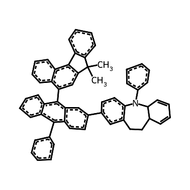 CC1(C)c2ccccc2-c2c1cc(-c1c3ccccc3c(-c3ccccc3)c3ccc(-c4ccc5c(c4)CCC4C=CC=CC4N5c4ccccc4)cc13)c1ccccc21